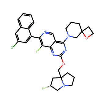 Fc1c(-c2cc(Cl)cc3ccccc23)ncc2c(N3CCCC4(CCO4)C3)nc(OCC34CCCN3C[C@H](F)C4)nc12